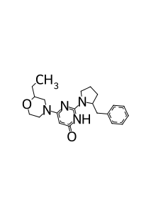 CCC1CN(c2cc(=O)[nH]c(N3CCCC3Cc3ccccc3)n2)CCO1